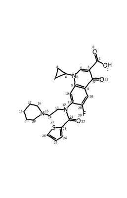 O=C(O)c1cn(C2CC2)c2cc(N(CCN3CCCCC3)C(=O)c3cccs3)c(F)cc2c1=O